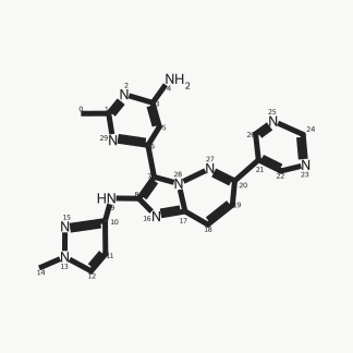 Cc1nc(N)cc(-c2c(Nc3ccn(C)n3)nc3ccc(-c4cncnc4)nn23)n1